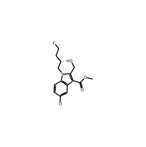 COC(=O)c1c(CO)n(CCCCF)c2ccc(Cl)cc12